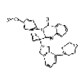 COc1ccc(-n2c(C3(N4Cc5cccc(N6CCOCC6)c5C4)CO3)nc3ccccc3c2=O)cc1